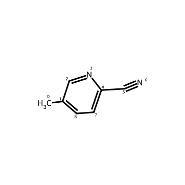 Cc1[c]nc(C#N)cc1